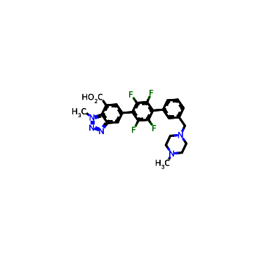 CN1CCN(Cc2cccc(-c3c(F)c(F)c(-c4cc(C(=O)O)c5c(c4)nnn5C)c(F)c3F)c2)CC1